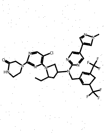 CCC1CC(N(CC2=CC(C(F)(F)F)CC(C(F)(F)F)=C2)c2ncc(-c3cnn(C)c3)cn2)CN1c1nc(N2CCNC(=O)C2)ncc1Cl